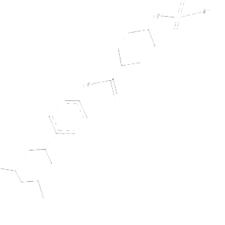 CC1CC(C)CC(c2ccc(NC(=O)C3CCC(NS(=O)(=O)C(C)C)CC3)cc2)C1